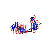 CC(C)[C@H](NC(=O)CCN1C(=O)C=CC1=O)C(=O)N[C@@H](C)C(=O)Nc1ccc(COC(=O)N[C@@H](C)C(=O)N[C@@H]2[C@@H](O)[C@H](O)[C@@H](Nc3ncnc4nc[nH]c34)O[C@H]2CO)cc1